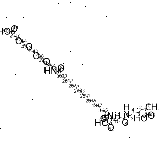 C[C@@H](CCCCNC(=O)CC[C@H](NC(=O)CCCCCCCCCCCCCCCCC(=O)NCCOCCOCCOCCOCCC(=O)O)C(=O)O)C(=O)O